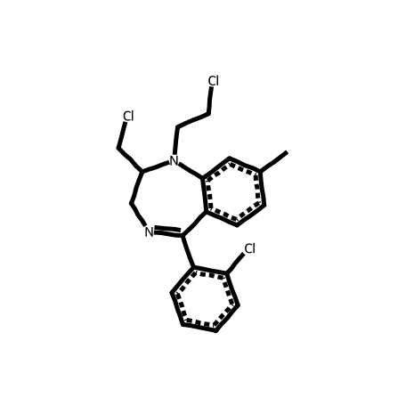 Cc1ccc2c(c1)N(CCCl)C(CCl)CN=C2c1ccccc1Cl